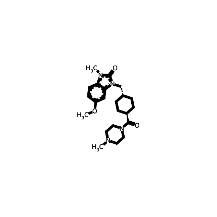 COc1ccc2c(c1)n(C[C@H]1CC[C@H](C(=O)N3CCN(C)CC3)CC1)c(=O)n2C